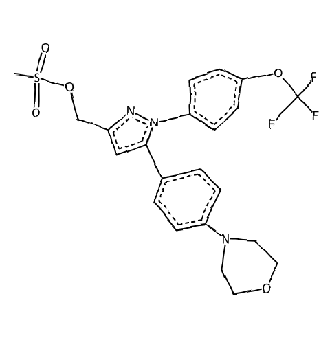 CS(=O)(=O)OCc1cc(-c2ccc(N3CCOCC3)cc2)n(-c2ccc(OC(F)(F)F)cc2)n1